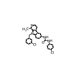 Cc1nccc2c3cc(NC(=O)Nc4ccc(Cl)cc4)ccc3n(Cc3cccc(Cl)c3)c12